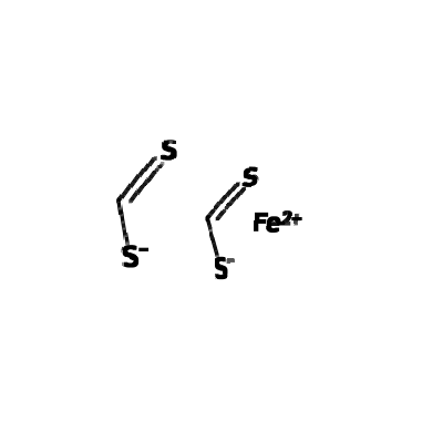 S=C[S-].S=C[S-].[Fe+2]